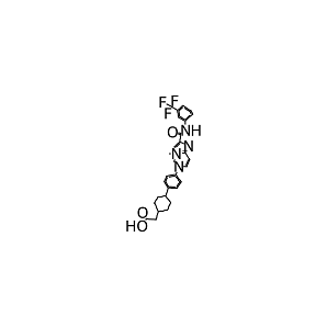 O=C(O)CC1CCC(c2ccc(N3C=CC4=NC(C(=O)Nc5cccc(C(F)(F)F)c5)=C[N+]4C3)cc2)CC1